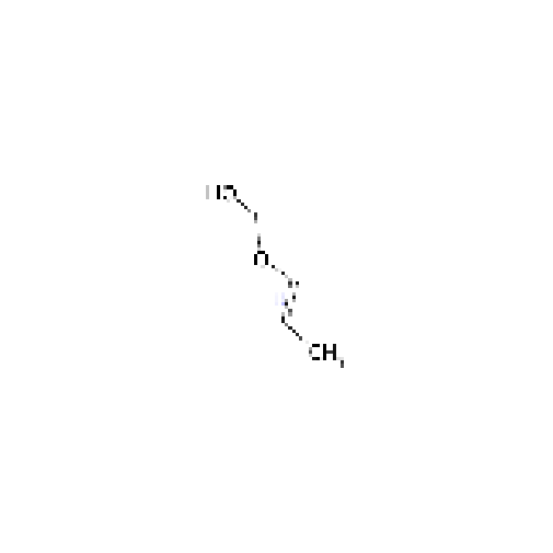 C/C=C/OCO